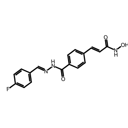 O=C(/C=C/c1ccc(C(=O)N/N=C/c2ccc(F)cc2)cc1)NO